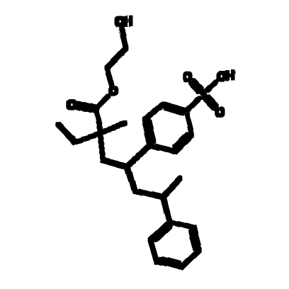 CCC(C)(CC(CC(C)c1ccccc1)c1ccc(S(=O)(=O)O)cc1)C(=O)OCCO